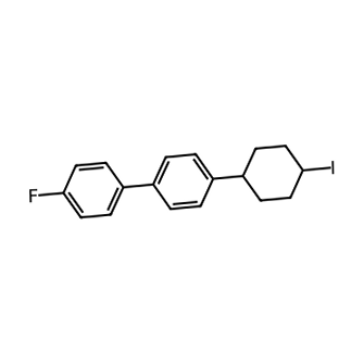 Fc1ccc(-c2ccc(C3CCC(I)CC3)cc2)cc1